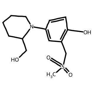 CS(=O)(=O)Cc1cc(N2CCCCC2CO)ccc1O